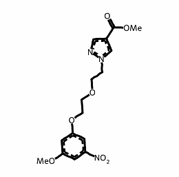 COC(=O)c1cnn(CCOCCOc2cc(OC)cc([N+](=O)[O-])c2)c1